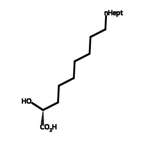 CCCCCCCCCCCCCC[C@@H](O)C(=O)O